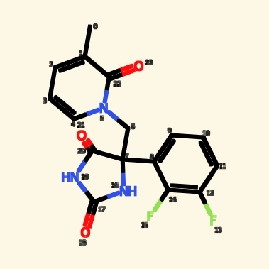 Cc1cccn(CC2(c3cccc(F)c3F)NC(=O)NC2=O)c1=O